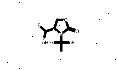 CCCCCCC(C)(CCC)N1C(=O)OCC1C(F)F